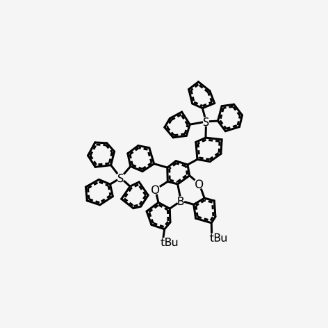 CC(C)(C)c1ccc2c(c1)B1c3cc(C(C)(C)C)ccc3Oc3c(-c4cccc(S(c5ccccc5)(c5ccccc5)c5ccccc5)c4)cc(-c4cccc(S(c5ccccc5)(c5ccccc5)c5ccccc5)c4)c(c31)O2